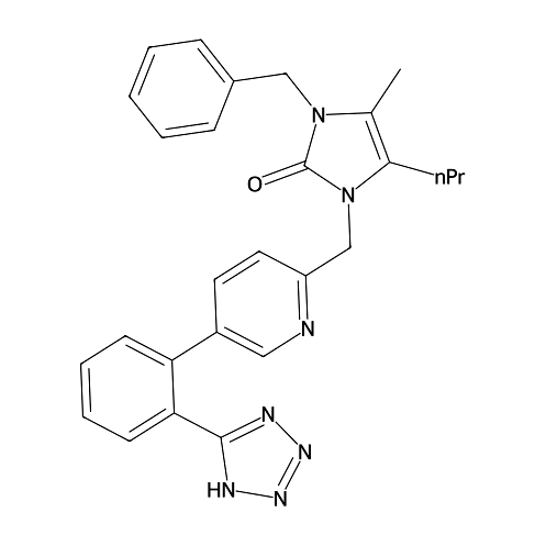 CCCc1c(C)n(Cc2ccccc2)c(=O)n1Cc1ccc(-c2ccccc2-c2nnn[nH]2)cn1